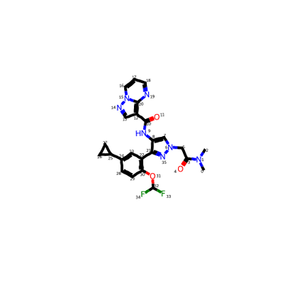 CN(C)C(=O)Cn1cc(NC(=O)c2cnn3cccnc23)c(-c2cc(C3CC3)ccc2OC(F)F)n1